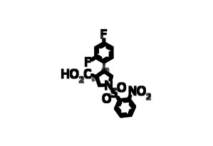 O=C(O)[C@@H]1CN(S(=O)(=O)c2ccccc2[N+](=O)[O-])C[C@H]1c1ccc(F)cc1F